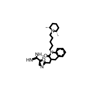 C[C@@H]1CCC[C@H](C)N1CCCCCN1C(=O)C(Cc2ncc(C(=N)N)o2)Cc2ccccc21